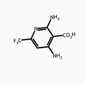 Nc1cc(C(F)(F)F)nc(N)c1C(=O)O